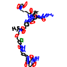 CC(C)[C@H](NC(=O)CCCCCN1C(=O)CCC1=O)C(=O)N[C@@H](CCCNC(N)=O)C(=O)Nc1ccc(COC(=O)N(C)CCOCCc2ccc(NC(=O)NCc3ccc4c(c3)CN(C3CCC(=O)NC3=O)C4=O)cc2Cl)cc1